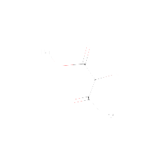 COC(=O)C(Br)C(=O)OC(C)(C)C